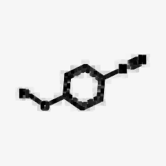 CCOc1ccc([N+]#N)cc1